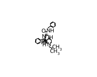 CC(C)CN1CC[C@H]2C[C@]3(C(=O)NCc4ccccc4)N=C[C@H]2[C@H]1[C@H]3Cc1ccccc1